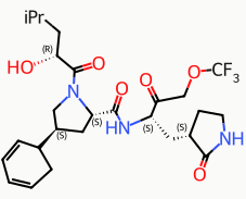 CC(C)C[C@@H](O)C(=O)N1C[C@H](C2C=CC=CC2)C[C@H]1C(=O)N[C@@H](C[C@@H]1CCNC1=O)C(=O)COC(F)(F)F